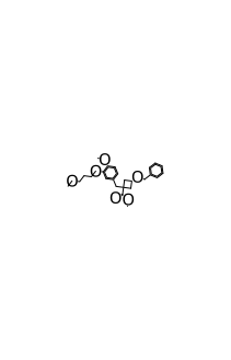 COCCCOc1cc(CC2(C(=O)OC)CC(OCc3ccccc3)C2)ccc1OC